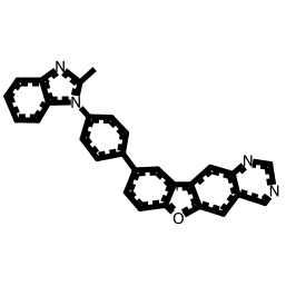 Cc1nc2ccccc2n1-c1ccc(-c2ccc3oc4cc5cncnc5cc4c3c2)cc1